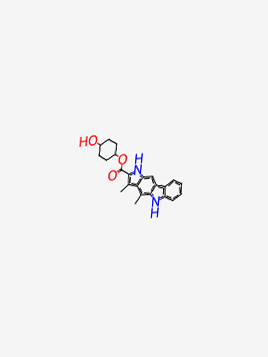 Cc1c(C(=O)OC2CCC(O)CC2)[nH]c2cc3c([nH]c4ccccc43)c(C)c12